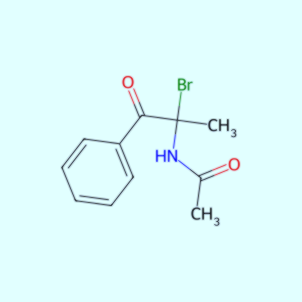 CC(=O)NC(C)(Br)C(=O)c1ccccc1